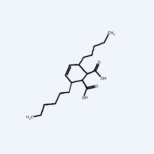 CCCCCCC1C=CC(CCCCC)C(C(=O)O)C1C(=O)O